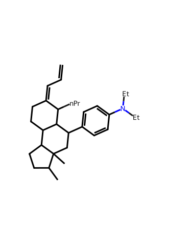 C=C/C=C1/CCC2C(C1CCC)C(c1ccc(N(CC)CC)cc1)CC1(C)C(C)CCC21